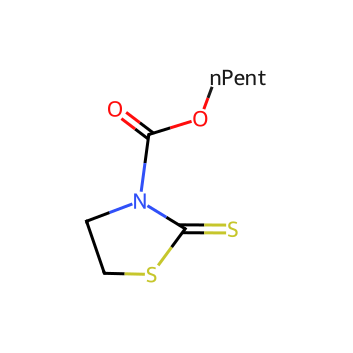 CCCCCOC(=O)N1CCSC1=S